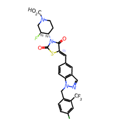 O=C(O)N1CC[C@H](N2C(=O)S/C(=C\c3ccc4c(cnn4Cc4ccc(Cl)cc4C(F)(F)F)c3)C2=O)[C@@H](F)C1